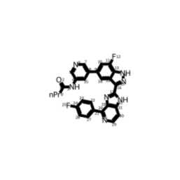 CCCC(=O)Nc1cncc(-c2cc(F)c3[nH]nc(-c4nc5c(-c6ccc(F)cc6)nccc5[nH]4)c3c2)c1